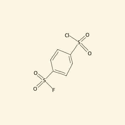 O=S(=O)(F)c1ccc(S(=O)(=O)Cl)cc1